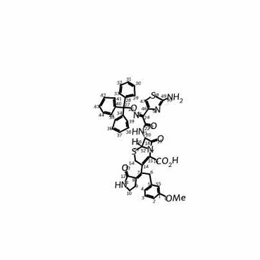 COc1cccc(CC(=C2CCNC2=O)C2=C(C(=O)O)N3C(=O)[C@@H](NC(=O)C(=NOC(c4ccccc4)(c4ccccc4)c4ccccc4)c4csc(N)n4)[C@H]3SC2)c1